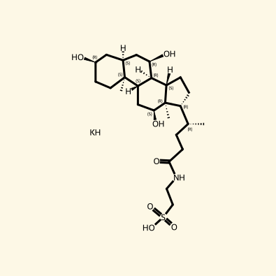 C[C@H](CCC(=O)NCCS(=O)(=O)O)[C@H]1CC[C@H]2[C@@H]3[C@H](O)C[C@@H]4C[C@H](O)CC[C@]4(C)[C@H]3C[C@H](O)[C@]12C.[KH]